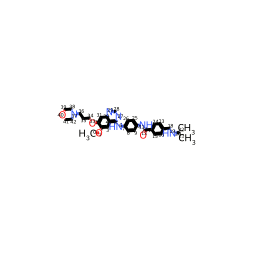 COc1cc2c(Nc3ccc(NC(=O)c4ccc(CNC(C)C)cc4)cc3)ncnc2cc1OCCCN1CCOCC1